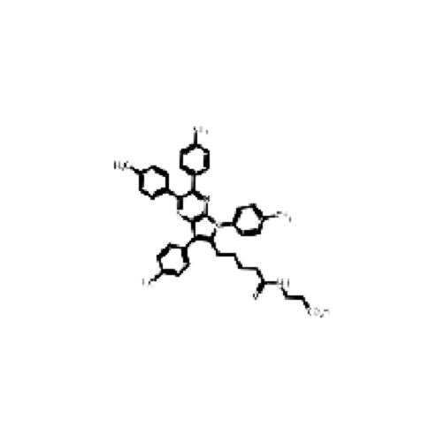 Cc1ccc(-c2nc3c(-c4ccc(C)cc4)c(CCCCC(=O)NCCC(=O)O)n(-c4ccc(C)cc4)c3nc2-c2ccc(C)cc2)cc1